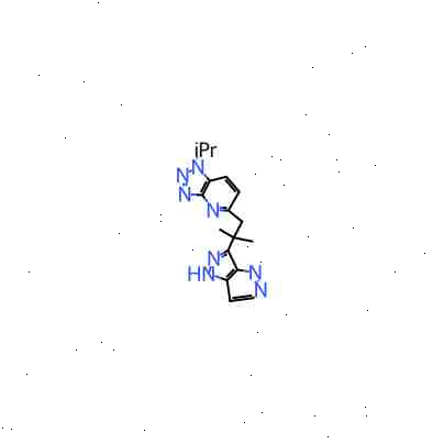 CC(C)n1nnc2nc(CC(C)(C)c3n[nH]c4ccnnc34)ccc21